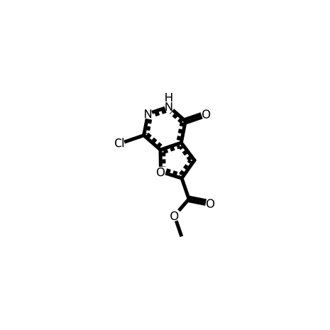 COC(=O)c1cc2c(=O)[nH]nc(Cl)c2o1